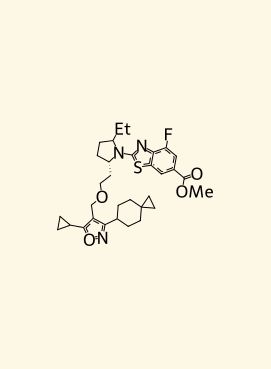 CCC1CC[C@@H](CCOCc2c(C3CCC4(CC3)CC4)noc2C2CC2)N1c1nc2c(F)cc(C(=O)OC)cc2s1